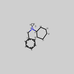 FC(F)(F)N(Cc1ccccc1)C1CCCCC1